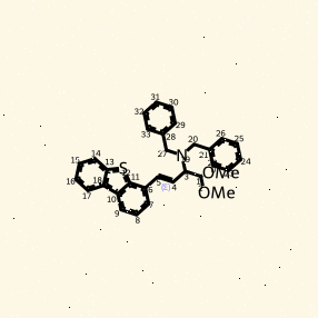 COC(OC)C(/C=C/c1cccc2c1sc1ccccc12)N(Cc1ccccc1)Cc1ccccc1